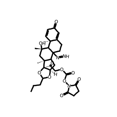 CCCC1O[C@@H]2CC3C4(N=N)CCC5=CC(=O)C=C[C@]5(C)C4[C@@](C)(O)C[C@]3(C)[C@]2(C(=O)COC(=O)ON2C(=O)CCC2=O)O1